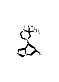 CC1(C)CN(c2cc(Cl)cn3cncc23)CCN1